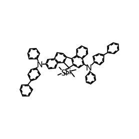 C[Si](C)(C)C1([Si](C)(C)C)c2cc(N(c3ccccc3)c3ccc(-c4ccccc4)cc3)c3ccccc3c2-c2ccc3cc(N(c4ccccc4)c4ccc(-c5ccccc5)cc4)ccc3c21